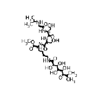 COC(=O)[C@H](CCCCNC(=O)C(O)C(O)C(O)C(O)C(=O)C(C)C)NC(=O)[C@H](CO)NC(=O)[C@H](CO)NC(=O)CNC(C)C